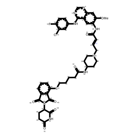 COc1cc2ncnc(Nc3ccc(F)c(Cl)c3)c2cc1NC(=O)/C=C/CN1CCC(NC(=O)CCCCSc2cccc3c2C(=O)N(C2CCC(=O)NC2=O)C3=O)CC1